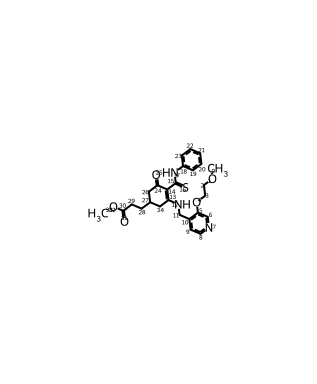 COCCOc1cnccc1CNC1=C(C(=S)Nc2ccccc2)C(=O)CC(CCC(=O)OC)C1